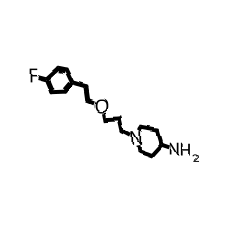 NC1CCN(CCCOCCc2ccc(F)cc2)CC1